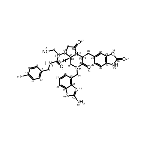 N#CCN(C(=O)NCc1ccc(F)cc1)N1CC(=O)N2[C@@H](Cc3ccc4[nH]c(=O)oc4c3)C(=O)N(Cc3cccc4sc(N)nc34)C[C@@H]21